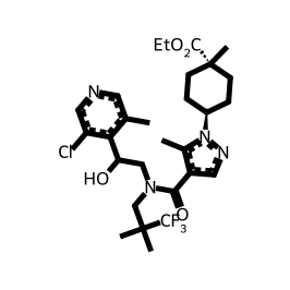 CCOC(=O)[C@]1(C)CC[C@@H](n2ncc(C(=O)N(CC(O)c3c(C)cncc3Cl)CC(C)(C)C(F)(F)F)c2C)CC1